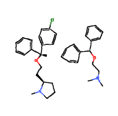 CN(C)CCOC(c1ccccc1)c1ccccc1.CN1CCC[C@@H]1CCO[C@](C)(c1ccccc1)c1ccc(Cl)cc1